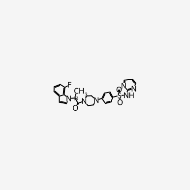 C[C@@H](C(=O)N1CCN(c2ccc(S(=O)(=O)Nc3ncccn3)cc2)CC1)n1ccc2cccc(F)c21